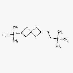 CC(C)(C)COC1CC2(C1)CC(C(C)(C)C)C2